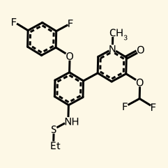 CCSNc1ccc(Oc2ccc(F)cc2F)c(-c2cc(OC(F)F)c(=O)n(C)c2)c1